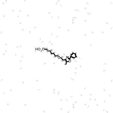 Cc1oc(-c2ccccc2)nc1CCOCCCCCSCC(=O)O